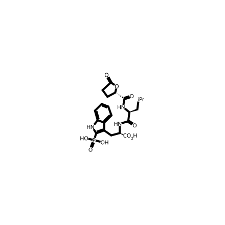 CC(C)C[C@H](NC(=O)[C@@H]1CCC(=O)O1)C(=O)N[C@@H](Cc1c(P(=O)(O)O)[nH]c2ccccc12)C(=O)O